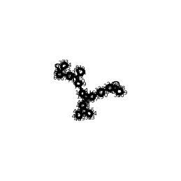 c1ccc(N(c2ccc(-c3ccc4c(c3)c3cc(-c5ccc(-c6ccc7oc8ccccc8c7c6)cc5)ccc3n4-c3ccc4c5ccccc5c5ccccc5c4c3)cc2)c2ccc(-c3cccc4sc5ccccc5c34)cc2)cc1